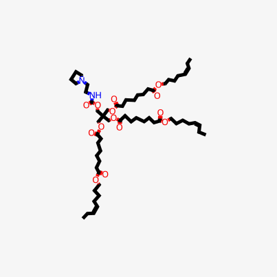 CC/C=C\CCCCOC(=O)CCCCCCC(=O)OCC(COC(=O)CCCCCCC(=O)OCCCC/C=C\CC)(COC(=O)CCCCCCC(=O)OCCCC/C=C\CC)COC(=O)NCCN1CCCC1